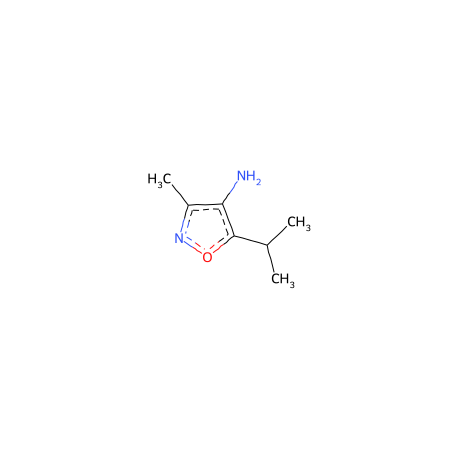 Cc1noc(C(C)C)c1N